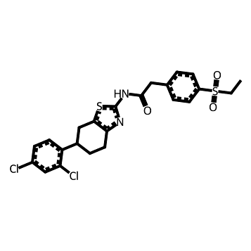 CCS(=O)(=O)c1ccc(CC(=O)Nc2nc3c(s2)CC(c2ccc(Cl)cc2Cl)CC3)cc1